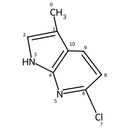 Cc1c[nH]c2nc(Cl)ccc12